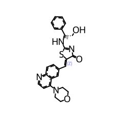 O=C1N=C(N[C@@H](CO)c2ccccc2)S/C1=C\c1ccc2nccc(N3CCOCC3)c2c1